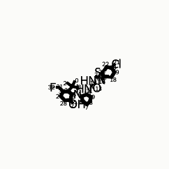 CC1(C)CN(c2ccccc2NC(=O)Nc2nc3ccc(Cl)cc3s2)c2c(O)ccc(CF)c21